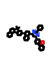 CC1(C)c2cc(-c3ccc(-c4cc(-c5ccc6c(c5)oc5ccccc56)nc(-c5ccccc5)n4)c4ccccc34)ccc2-c2c1ccc1ccccc21